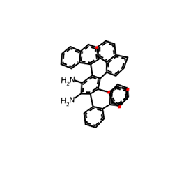 Nc1c(N)c(-c2cccc3ccccc23)c(-c2cccc3ccccc23)c(-c2ccccc2)c1-c1ccccc1-c1ccccc1